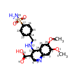 COc1cc2ncc(C(=O)O)c(NCc3ccc(S(N)(=O)=O)cc3)c2cc1OC